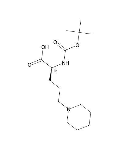 CC(C)(C)OC(=O)N[C@@H](CCCN1CCCCC1)C(=O)O